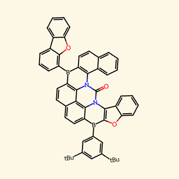 CC(C)(C)c1cc(B2c3ccc4ccc5c6c4c3N(C(=O)N6c3c(ccc4ccccc34)B5c3cccc4c3oc3ccccc34)c3c2oc2ccccc32)cc(C(C)(C)C)c1